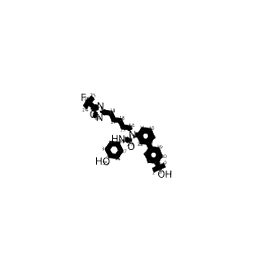 CC(C)(O)c1ccc(-c2cccc(N(CCCCCc3noc(C(C)(C)F)n3)C(=O)N[C@H]3CC[C@H](O)CC3)c2)cc1